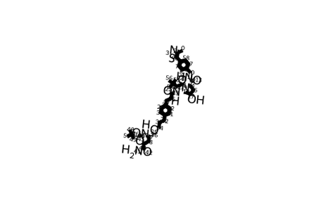 Cc1ncsc1-c1ccc(CNC(=O)[C@@H]2C[C@@H](O)CN2C(=O)[C@@H](NC(=O)CCc2ccc(CCCOC[C@H](CCC(N)=O)NC(=O)OC(C)(C)C)cc2)C(C)(C)C)cc1